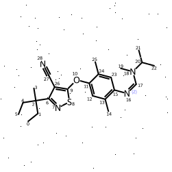 CCC(C)(CC)c1nsc(Oc2cc(C)c(/N=C\N(C)C(C)C)cc2C)c1C#N